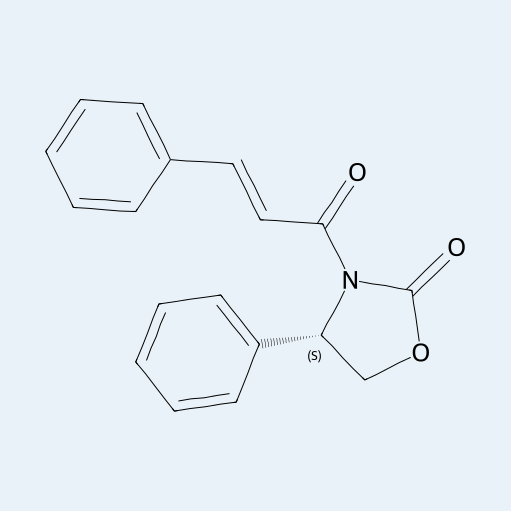 O=C(C=Cc1ccccc1)N1C(=O)OC[C@@H]1c1ccccc1